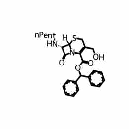 CCCCCN[C@H]1C(=O)N2C(C(=O)OC(c3ccccc3)c3ccccc3)=C(CO)CS[C@@H]12